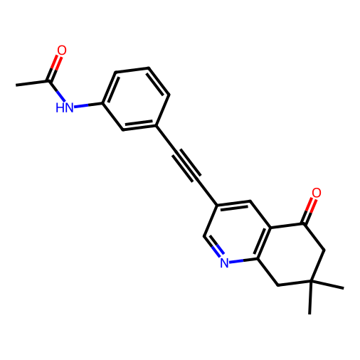 CC(=O)Nc1cccc(C#Cc2cnc3c(c2)C(=O)CC(C)(C)C3)c1